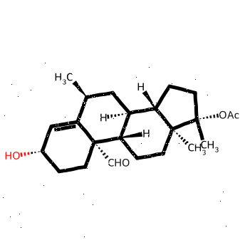 CC(=O)O[C@@]1(C)CC[C@H]2[C@@H]3C[C@H](C)C4=C[C@@H](O)CC[C@]4(C=O)[C@H]3CC[C@@]21C